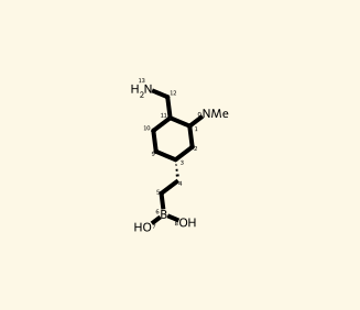 CNC1C[C@H](CCB(O)O)CCC1CN